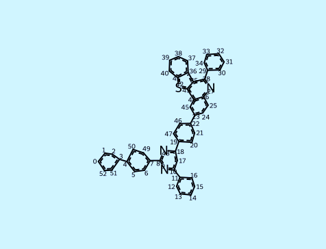 c1ccc(-c2ccc(-c3nc(-c4ccccc4)cc(-c4ccc(-c5ccc6nc(-c7ccccc7)c7c8ccccc8sc7c6c5)cc4)n3)cc2)cc1